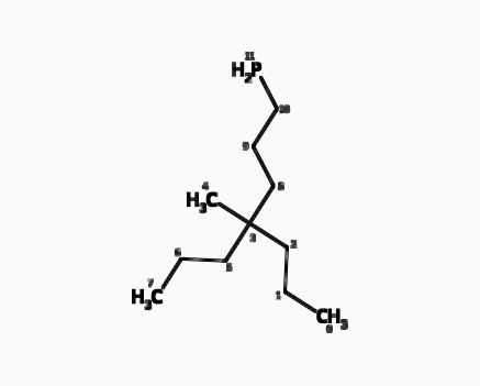 CCCC(C)(CCC)CCCP